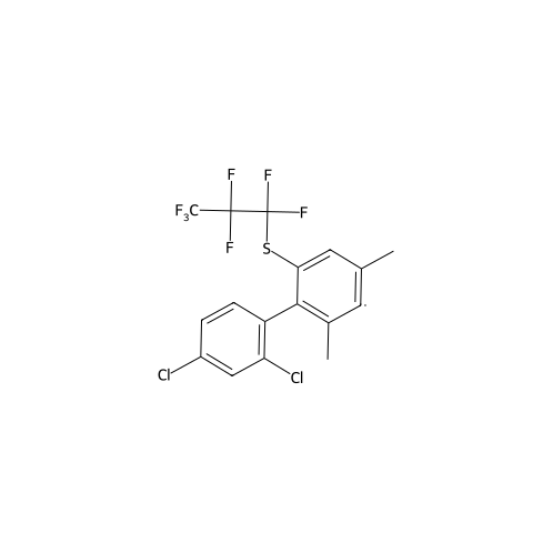 Cc1[c]c(C)c(-c2ccc(Cl)cc2Cl)c(SC(F)(F)C(F)(F)C(F)(F)F)c1